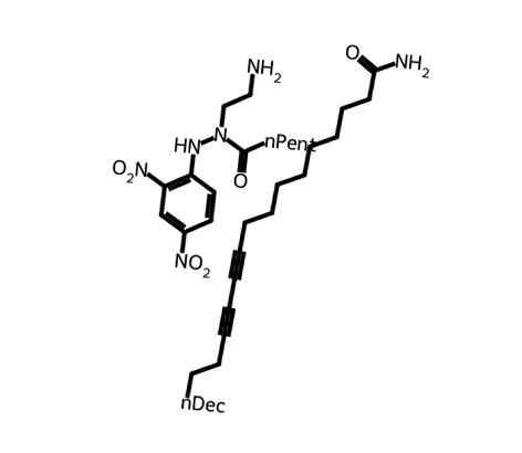 CCCCCC(=O)N(CCN)Nc1ccc([N+](=O)[O-])cc1[N+](=O)[O-].CCCCCCCCCCCCC#CC#CCCCCCCCCC(N)=O